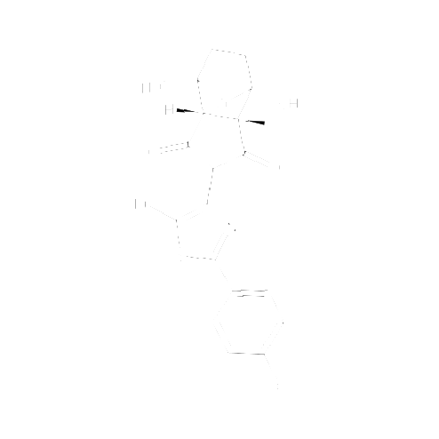 CCc1sc(-c2ccc(Cl)cc2)nc1C1C(=O)[C@@H]2[C@H](C1=O)[C@@]1(C)CC[C@]2(C)O1